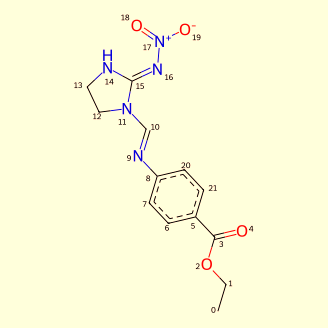 CCOC(=O)c1ccc(N=CN2CCNC2=N[N+](=O)[O-])cc1